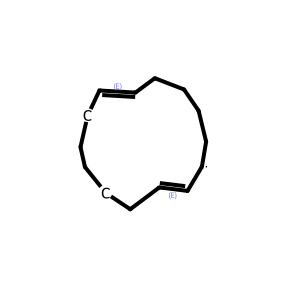 [CH]1/C=C/CCCCC/C=C/CCCC1